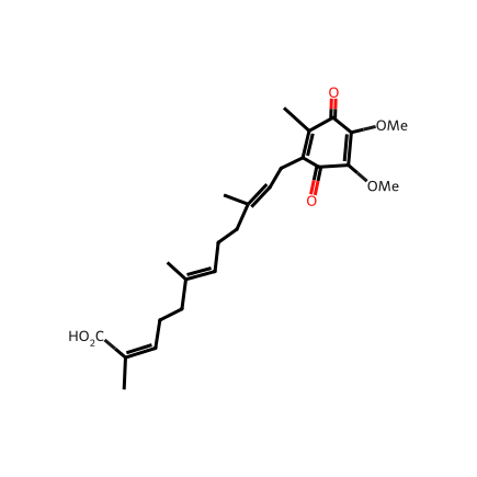 COC1=C(OC)C(=O)C(C/C=C(\C)CC/C=C(\C)CC/C=C(/C)C(=O)O)=C(C)C1=O